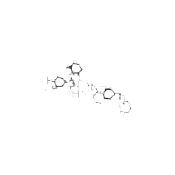 O=C(C[C@@H](NS(=O)(=O)c1ccc(Cl)c(Cl)c1)c1cccc(F)c1)N[C@@H]1CCCc2cc(CN3CCCCC3)ccc21